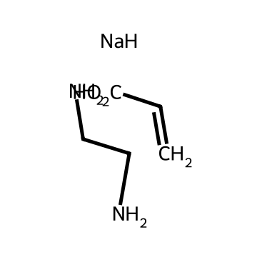 C=CC(=O)O.NCCN.[NaH]